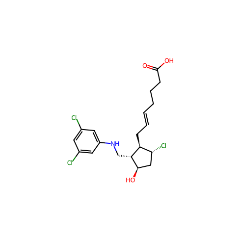 O=C(O)CCCC=CC[C@@H]1[C@@H](CNc2cc(Cl)cc(Cl)c2)[C@H](O)C[C@H]1Cl